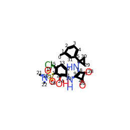 Cc1cccc(C2(Nc3c(Nc4ccc(Cl)c(S(=O)(=O)N(C)C)c4O)c(=O)c3=O)CC2)c1